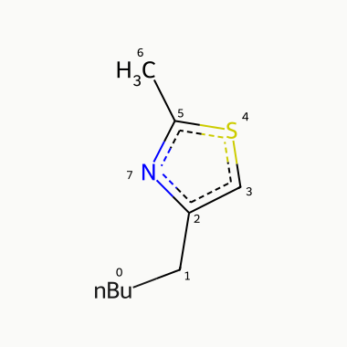 [CH2]CCCCc1csc(C)n1